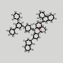 C=C(/C=C\C=C/C)c1ccc(-c2ccc3ccccc3c2)cc1N(c1ccc(-c2cc(-c3ccccc3)cc(-c3ccccc3)c2)cc1)c1ccc(-c2cc3ccccc3c3ccccc23)cc1